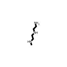 CNCCNCCN